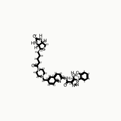 Cc1ccccc1-n1nnc(C(=O)Nc2ccc3cc(CN4CCN(C(=O)CCCC[C@@H]5SC[C@@H]6NC(=O)N[C@@H]65)CC4)ccc3n2)c1C